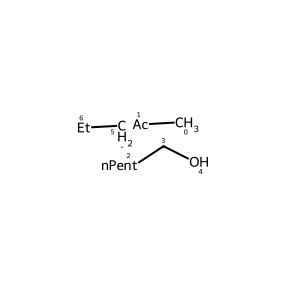 CC(C)=O.CCCCCCO.[CH2]CC